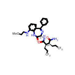 COCCNc1cccc2c1NC(=O)[C@@H](NC(=O)[C@H](CCC(F)(F)F)[C@H](CCC(F)(F)F)C(N)=O)N=C2c1ccccc1